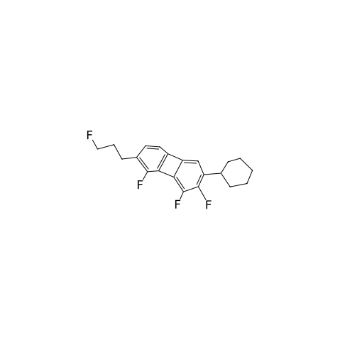 FCCCc1ccc2c(c1F)-c1c-2cc(C2CCCCC2)c(F)c1F